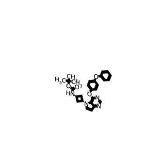 CC(C)(C)OC(=O)N[C@H]1C[C@H](n2ccc3ncnc(Oc4ccc(Oc5ccccc5)cc4)c32)C1